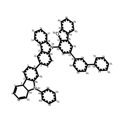 C1=CC2c3ccc(-c4ccc5c(c4)c4ccccc4n5-c4cc(-c5cccc(-c6ccccc6)c5)cc5c4oc4ccccc45)cc3N(c3ccccc3)C2C=C1